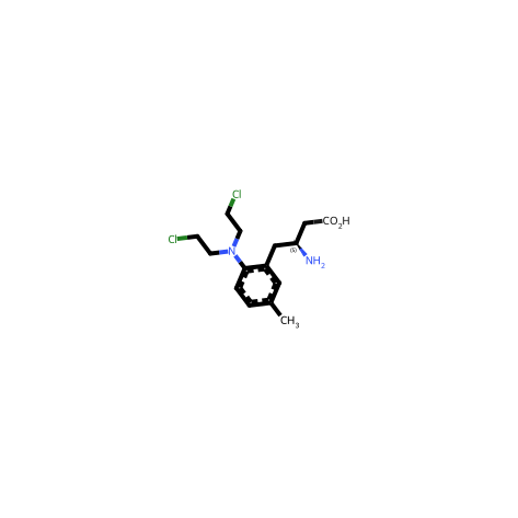 Cc1ccc(N(CCCl)CCCl)c(C[C@H](N)CC(=O)O)c1